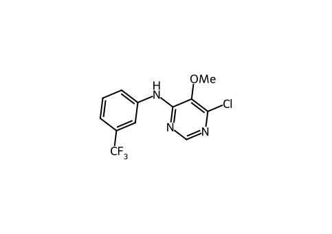 COc1c(Cl)ncnc1Nc1cccc(C(F)(F)F)c1